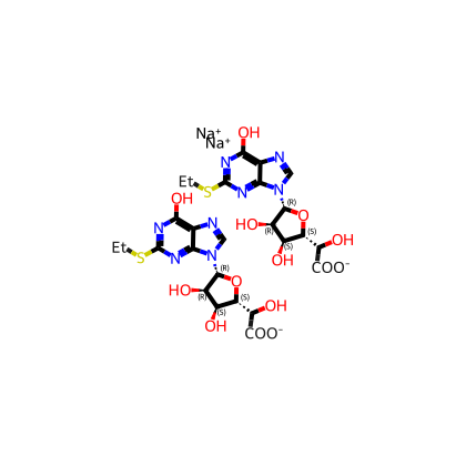 CCSc1nc(O)c2ncn([C@@H]3O[C@H](C(O)C(=O)[O-])[C@@H](O)[C@H]3O)c2n1.CCSc1nc(O)c2ncn([C@@H]3O[C@H](C(O)C(=O)[O-])[C@@H](O)[C@H]3O)c2n1.[Na+].[Na+]